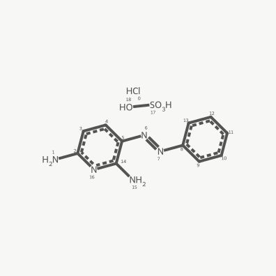 Cl.Nc1ccc(/N=N/c2ccccc2)c(N)n1.O=S(=O)(O)O